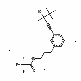 CC(C)(C)C(C)(O)C#Cc1cccc(CCCNC(=O)C(F)(F)F)c1